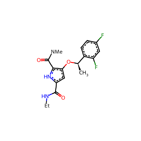 CCNC(=O)c1cc(O[C@H](C)c2ccc(F)cc2F)c(C(=O)NC)[nH]1